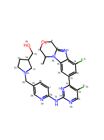 CC1COCc2nc3c(F)cc(-c4nc(Nc5ccc(CN6CCC(CO)C6)cn5)ncc4F)cc3n21